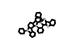 c1ccc(-c2nc(-c3ccccc3-n3c4ccccc4c4ccc5c(c6ccccc6n5-c5ccccc5)c43)c3oc4ccccc4c3n2)cc1